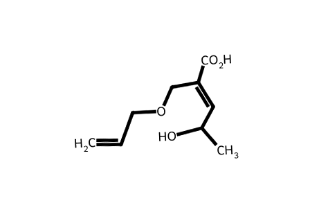 C=CCOCC(=CC(C)O)C(=O)O